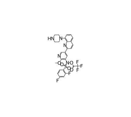 COc1ncc(-c2ccc3cccc(N4CCNCC4)c3n2)cc1N(OC(=O)C(F)(F)F)S(=O)(=O)c1ccc(F)cc1F